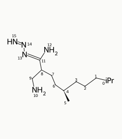 CC(C)CCC[C@@H](C)CCC(CN)/C(N)=N/N=N